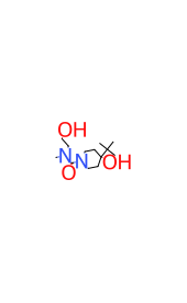 CN(CCO)C(=O)N1CCC(O)(C(C)(C)C)CC1